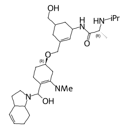 CNC1=C(C(O)N2CCC3C=CCCC32)CC[C@@H](OCC2=CC(NC(=O)[C@@H](C)NC(C)C)CC(CO)C2)C1